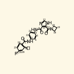 O=C(Nc1ccc(NC(=O)c2nc[nH]c2C(=O)N2CCC2)cc1)c1ccc(F)cc1Cl